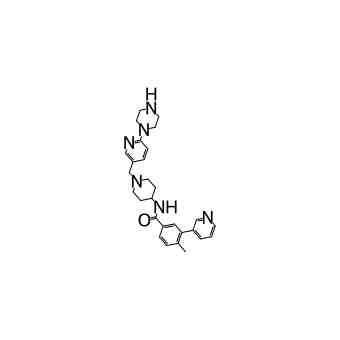 Cc1ccc(C(=O)NC2CCN(Cc3ccc(N4CCNCC4)nc3)CC2)cc1-c1cccnc1